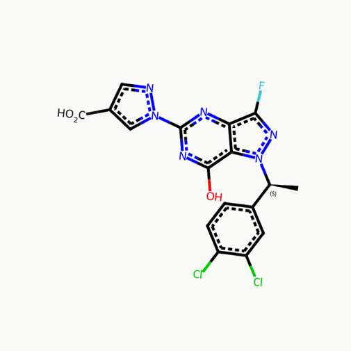 C[C@@H](c1ccc(Cl)c(Cl)c1)n1nc(F)c2nc(-n3cc(C(=O)O)cn3)nc(O)c21